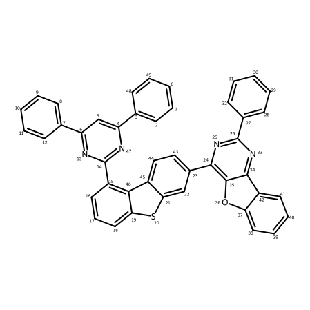 c1ccc(-c2cc(-c3ccccc3)nc(-c3cccc4sc5cc(-c6nc(-c7ccccc7)nc7c6oc6ccccc67)ccc5c34)n2)cc1